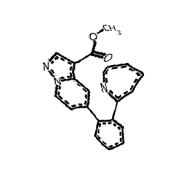 COC(=O)c1cnn2ccc(-c3ccccc3-c3ccccn3)cc12